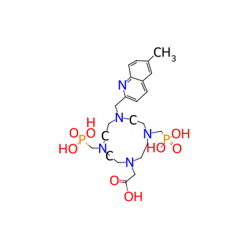 Cc1ccc2nc(CN3CCN(CP(=O)(O)O)CCN(CC(=O)O)CCN(CP(=O)(O)O)CC3)ccc2c1